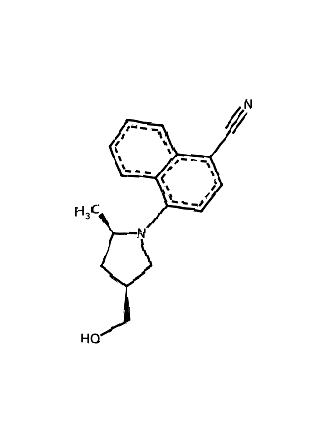 C[C@@H]1C[C@H](CO)CN1c1ccc(C#N)c2ccccc12